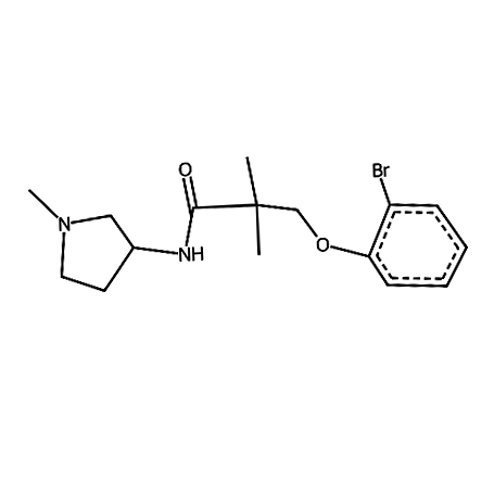 CN1CCC(NC(=O)C(C)(C)COc2ccccc2Br)C1